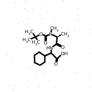 C[C@@H](C(=O)NC(C(=O)O)C1CCCCC1)N(C)C(=O)OC(C)(C)C